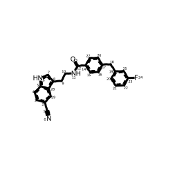 N#Cc1ccc2[nH]cc(CCNC(=O)c3ccc(Cc4cccc(F)c4)cc3)c2c1